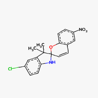 CC1(C)c2cc(Cl)ccc2NC12C=Cc1cc([N+](=O)[O-])ccc1O2